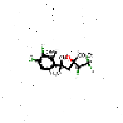 CCOC(=O)C(O)(CC(C)(C)c1ccc(Cl)c(F)c1OC)C(F)C(F)F